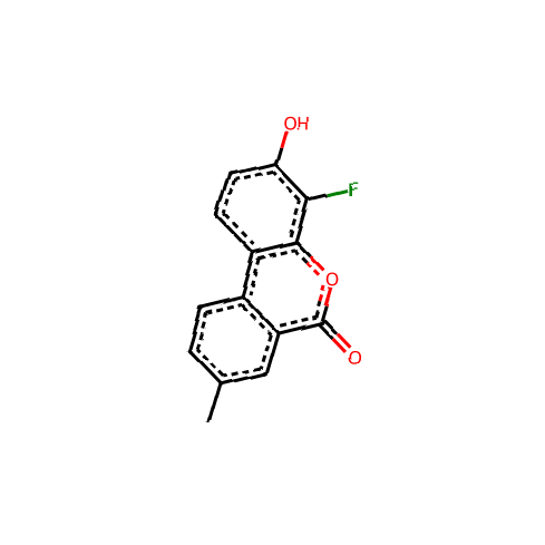 Cc1ccc2c(c1)c(=O)oc1c(F)c(O)ccc12